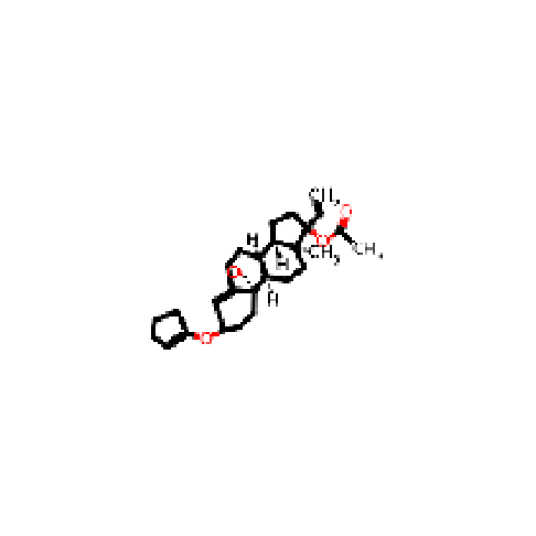 C=CC1(OC(C)=O)CC[C@H]2[C@@H]3CCC4=CC(OC5=CCCC5)CC[C@]4(C=O)[C@@H]3CC[C@@]21C